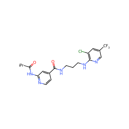 CC(C)C(=O)Nc1cc(C(=O)NCCCNc2ncc(C(F)(F)F)cc2Cl)ccn1